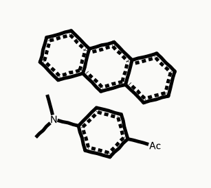 CC(=O)c1ccc(N(C)C)cc1.c1ccc2cc3ccccc3cc2c1